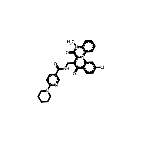 Cn1c(=O)c2c(CNC(=O)c3ccc(N4CCCCC4)nc3)c(=O)c3ccc(Cl)cc3n2c2ccccc21